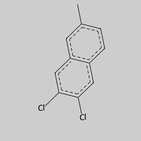 Cc1ccc2cc(Cl)c(Cl)cc2c1